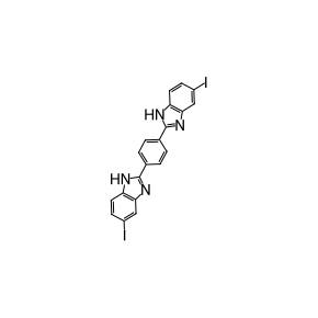 Ic1ccc2[nH]c(-c3ccc(-c4nc5cc(I)ccc5[nH]4)cc3)nc2c1